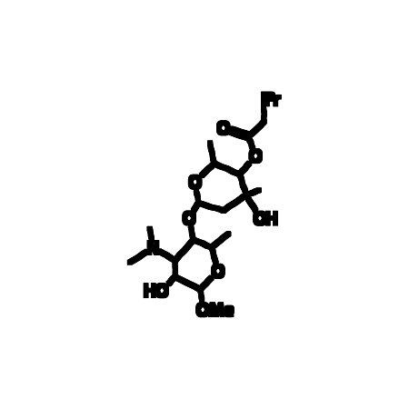 COC1OC(C)C(OC2CC(C)(O)C(OC(=O)CC(C)C)C(C)O2)C(N(C)C)C1O